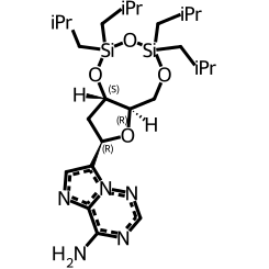 CC(C)C[Si]1(CC(C)C)OC[C@H]2O[C@@H](c3cnc4c(N)ncnn34)C[C@@H]2O[Si](CC(C)C)(CC(C)C)O1